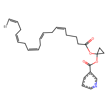 CC/C=C\C/C=C\C/C=C\C/C=C\C/C=C\CCCC(=O)OC1(OC(=O)c2cccnc2)CC1